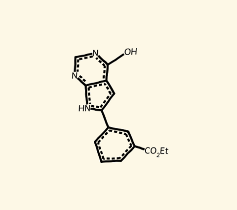 CCOC(=O)c1cccc(-c2cc3c(O)ncnc3[nH]2)c1